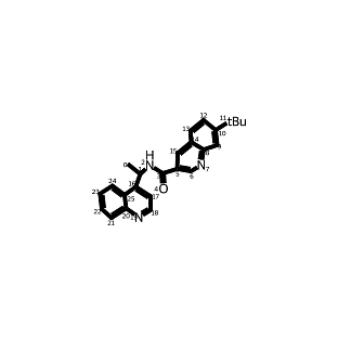 CC(NC(=O)c1cnc2cc(C(C)(C)C)ccc2c1)c1ccnc2ccccc12